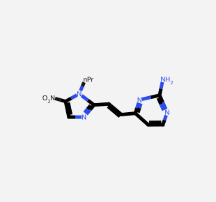 CCCn1c([N+](=O)[O-])cnc1/C=C/c1ccnc(N)n1